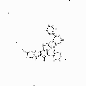 O=C1CCC2(C1)CN1C(=N2)NC=C2C1=NC(Cc1ccccc1-c1ccccc1)N2Cc1ccccc1